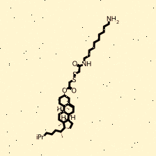 CC(C)CCC[C@@H](C)[C@H]1CC[C@H]2[C@@H]3CC=C4C[C@@H](OC(=O)CSSCC(=O)NCCCCCCCCCCN)CC[C@]4(C)[C@H]3CC[C@]12C